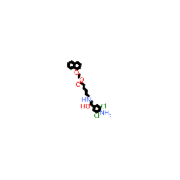 Nc1c(Cl)cc(C(O)CNCCCCCC(=O)OCCOc2cccc3ccccc23)cc1Cl